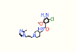 COc1cc(N)c(Cl)cc1C(=O)NCC1CCN(CCCn2ccnc2C)CC1